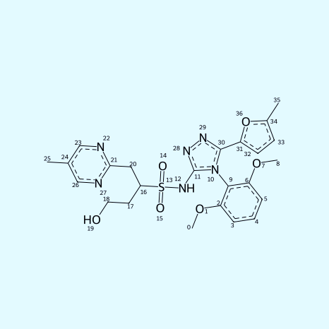 COc1cccc(OC)c1-n1c(NS(=O)(=O)C(CCO)Cc2ncc(C)cn2)nnc1-c1ccc(C)o1